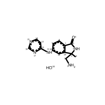 CC1(CN)NC(=O)c2ccc(Nc3ccncn3)cc21.Cl